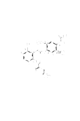 CCC(=O)Oc1cccc(I)c1COc1cc(Cl)c(CC)cc1Br